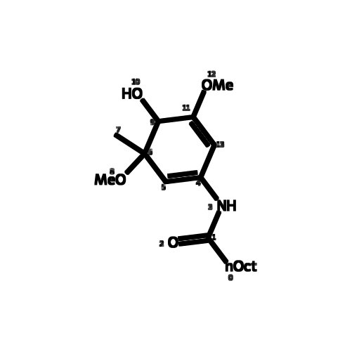 CCCCCCCCC(=O)NC1=CC(C)(OC)C(O)C(OC)=C1